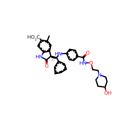 Cc1cc2c(cc1C(=O)O)NC(=O)/C2=C(/Nc1ccc(C(=O)NOCCN2CCC(O)CC2)cc1)c1ccccc1